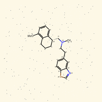 COc1cccc2c1CCC[C@H]2CN(C)CCc1ccc2scnc2c1